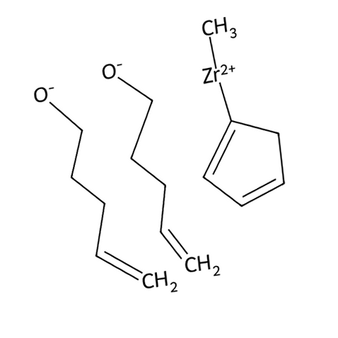 C=CCCC[O-].C=CCCC[O-].[CH3][Zr+2][C]1=CC=CC1